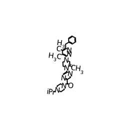 Cc1c(Cc2ccccc2)nnc(N2CCN(c3cnc(C(=O)N4CCN(C(C)C)CC4)cn3)[C@H](C)C2)c1C